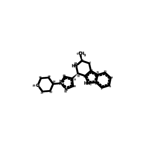 C[C@H]1Cc2c([nH]c3ccccc23)[C@H](c2cnn(C3CCOCC3)c2)N1